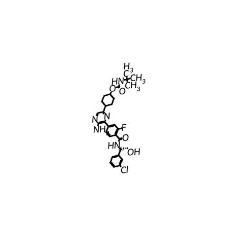 CC(C)(C)NC(=O)OC1CCC(c2cnc(N)c(-c3ccc(C(=O)N[C@H](CO)c4cccc(Cl)c4)c(F)c3)n2)CC1